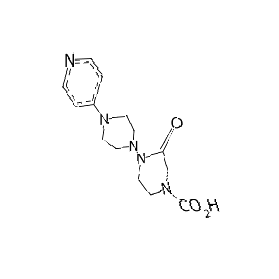 O=C=C1CN(C(=O)O)CCN1N1CCN(c2ccncc2)CC1